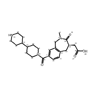 CN1Cc2cc(C(=O)N3CCC(C4CCNCC4)CC3)ccc2C[C@H](CC(=O)O)C1=O